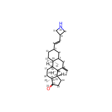 C=C1CC2CC(C=CC3CNC3)CC[C@]2(C)[C@@H]2CC[C@]3(C)C(=O)CC[C@H]3[C@H]12